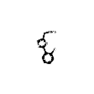 CNCc1csc(-c2ccccc2Cl)n1